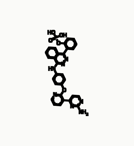 Nc1nccc(-c2cccnc2Oc2ccc(Nc3nnc(-c4ccccc4OP(=O)(O)O)c4ccccc34)cc2)n1